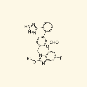 CCOc1nc2cc(F)cc(OC=O)c2n1Cc1ccc(-c2ccccc2-c2nn[nH]n2)cc1